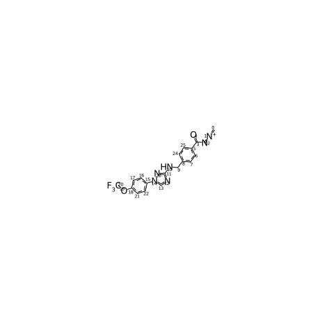 C=[N+]=NC(=O)c1ccc(CNc2ncn(-c3ccc(OC(F)(F)F)cc3)n2)cc1